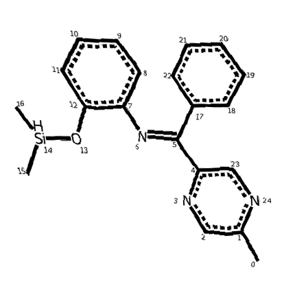 Cc1cnc(C(=Nc2ccccc2O[SiH](C)C)c2ccccc2)cn1